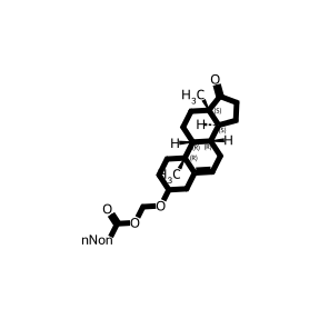 CCCCCCCCCC(=O)OCOC1CC[C@@]2(C)C(=CC[C@@H]3[C@H]2CC[C@]2(C)C(=O)CC[C@@H]32)C1